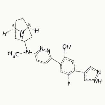 CN(c1ccc(-c2cc(F)c(-c3cn[nH]c3)cc2O)nn1)C1C[C@H]2CC[C@@H](C1)N2